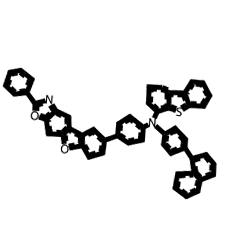 c1ccc(-c2nc3cc4c(cc3o2)oc2ccc(-c3ccc(N(c5ccc(-c6cccc7ccccc67)cc5)c5cccc6c5sc5ccccc56)cc3)cc24)cc1